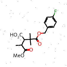 COC(=O)C(C)C(C(=O)O)C(C)(C)C(=O)OCc1ccc(F)cc1